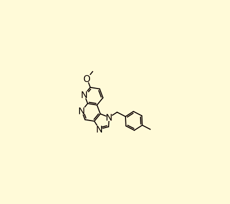 COc1ccc2c(ncc3ncn(Cc4ccc(C)cc4)c32)n1